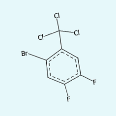 Fc1cc(Br)c(C(Cl)(Cl)Cl)cc1F